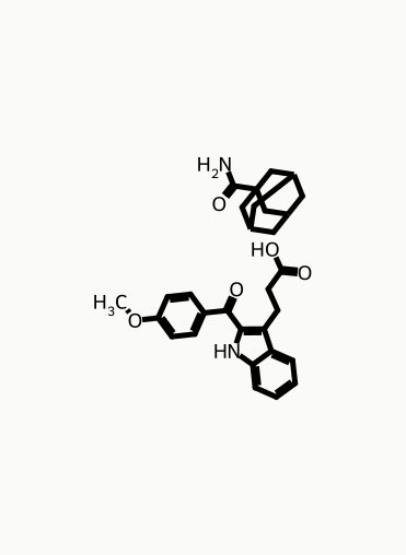 COc1ccc(C(=O)c2[nH]c3ccccc3c2CCC(=O)O)cc1.NC(=O)C12CC3CC(CC(C3)C1)C2